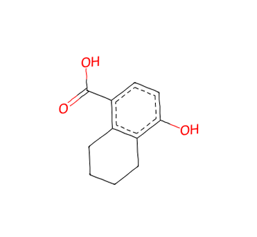 O=C(O)c1ccc(O)c2c1CCCC2